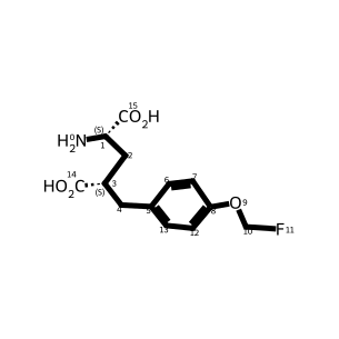 N[C@@H](C[C@H](Cc1ccc(OCF)cc1)C(=O)O)C(=O)O